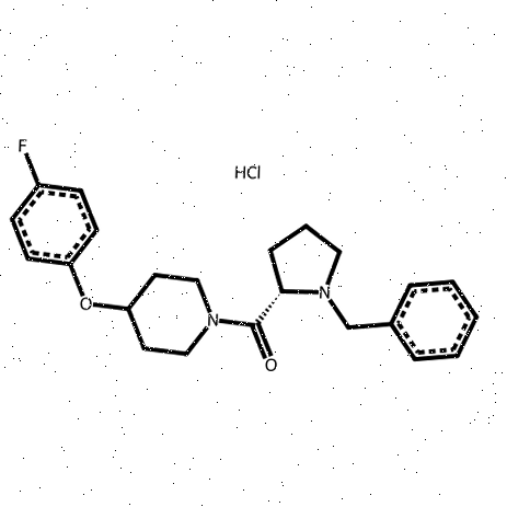 Cl.O=C([C@@H]1CCCN1Cc1ccccc1)N1CCC(Oc2ccc(F)cc2)CC1